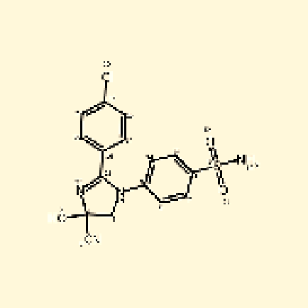 N#CC1(O)CN(c2ccc(S(N)(=O)=O)cc2)C(c2ccc(Cl)cc2)=N1